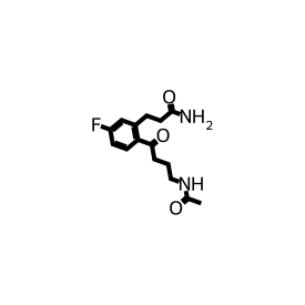 CC(=O)NCCCC(=O)c1ccc(F)cc1CCC(N)=O